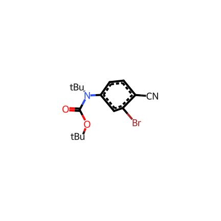 CC(C)(C)OC(=O)N(c1ccc(C#N)c(Br)c1)C(C)(C)C